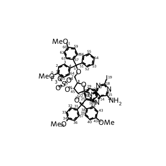 COc1ccc(C(OC[C@H]2O[C@@H](n3cnc4c(N)nc(I)nc43)[C@H](OC(c3ccccc3)(c3ccc(OC)cc3)c3ccc(OC)cc3)[C@@H]2OS(=O)(=O)C(F)(F)F)(c2ccccc2)c2ccc(OC)cc2)cc1